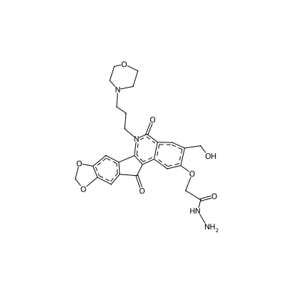 NNC(=O)COc1cc2c3c(n(CCCN4CCOCC4)c(=O)c2cc1CO)-c1cc2c(cc1C3=O)OCO2